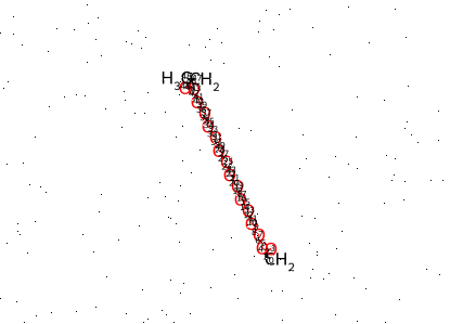 C=CC(=O)OCCOCCOCCOCCOCCOCCOCCOCCOCCOCCOCCOCCOCCOC(=O)C(=C)C